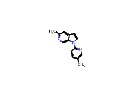 Cc1ccc(-n2ccc3cc(C)ncc32)nc1